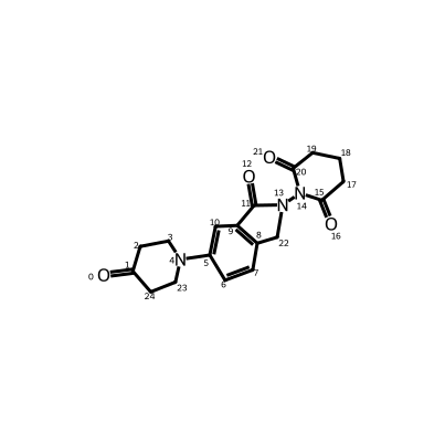 O=C1CCN(c2ccc3c(c2)C(=O)N(N2C(=O)CCCC2=O)C3)CC1